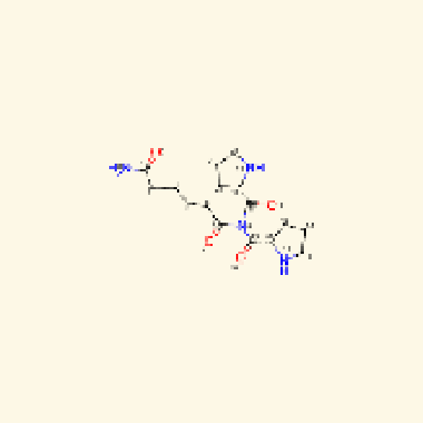 NC(=O)CCCCC(=O)N(C(=O)[C@@H]1CCCN1)C(=O)[C@@H]1CCCN1